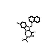 CC(=O)NCC1c2cc(F)ccc2N(Cc2cccc3ccccc23)C1C(=O)O